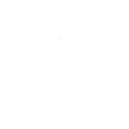 Cc1cc(-c2ncc(Cl)cc2-c2cccc(-n3ncc(OC(=O)O)c3C(F)(F)F)n2)ccc1C1CCN(CC(F)(F)F)CC1